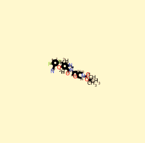 [2H]c1c(Oc2c(F)ccc(F)c2C#N)c([2H])c2c(=O)n([C@H]3COC4(CCN(C(=O)OC(C)(C)C)CC4)C3)cnc2c1[2H]